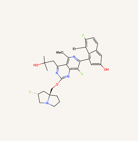 CCc1c(F)ccc2cc(O)cc(-c3nc(OC)c4c(CC(C)(C)O)nc(OC[C@@]56CCCN5C[C@H](F)C6)nc4c3F)c12